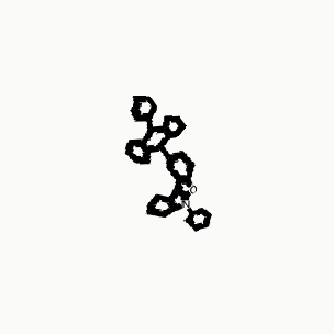 c1ccc(-c2c3ccccc3c(-c3ccc4oc5c(c4c3)c3ccccc3n5-c3ccccc3)c3ccccc23)cc1